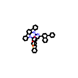 C1=CC2=C(c3cc(-c4ccccc4)nc(-n4c5ccccc5c5ccc6c7ccccc7n(-c7cccc(C8Cc9ccccc9S8)c7)c6c54)n3)C=CC(c3ccccc3)C2C=C1